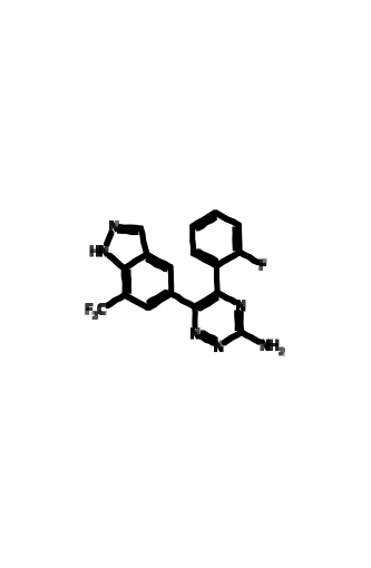 Nc1nnc(-c2cc(C(F)(F)F)c3[nH]ncc3c2)c(-c2ccccc2F)n1